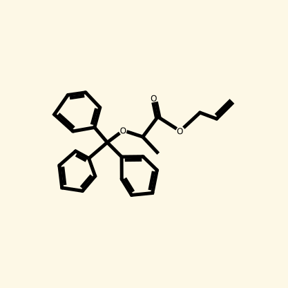 C=CCOC(=O)C(C)OC(c1ccccc1)(c1ccccc1)c1ccccc1